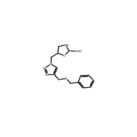 O=CC1NCC(Cn2cc(CSCc3ccccc3)nn2)O1